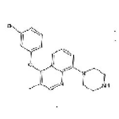 Cc1cnc2c(N3CCNCC3)cccc2c1Oc1cccc(Cl)c1